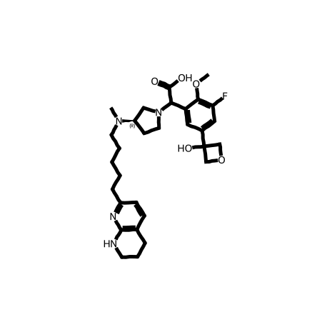 COc1c(F)cc(C2(O)COC2)cc1C(C(=O)O)N1CC[C@@H](N(C)CCCCCc2ccc3c(n2)NCCC3)C1